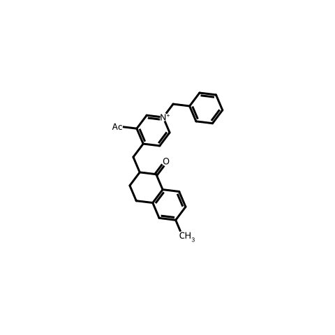 CC(=O)c1c[n+](Cc2ccccc2)ccc1CC1CCc2cc(C)ccc2C1=O